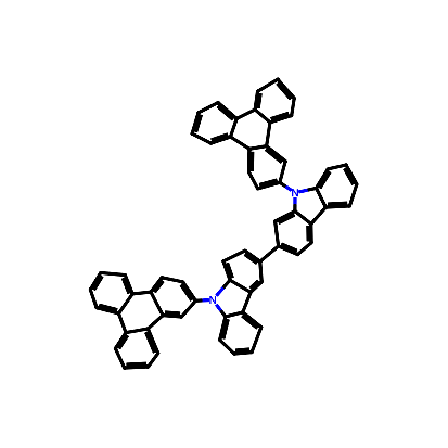 c1ccc2c(c1)c1ccccc1c1cc(-n3c4ccccc4c4cc(-c5ccc6c7ccccc7n(-c7ccc8c9ccccc9c9ccccc9c8c7)c6c5)ccc43)ccc21